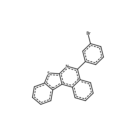 Brc1cccc(-c2nc3sc4ccccc4c3c3ccccc23)c1